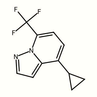 FC(F)(F)c1ccc(C2CC2)c2ccnn12